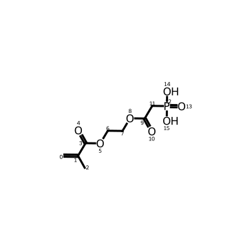 C=C(C)C(=O)OCCOC(=O)CP(=O)(O)O